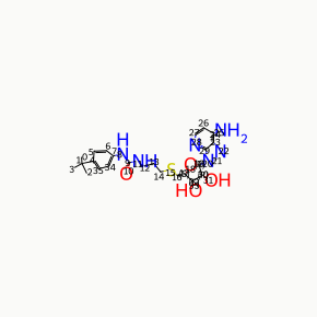 CC(C)(C)c1ccc(NC(=O)NCCCSC[C@H]2O[C@@H](n3cnc4c(N)ccnc43)[C@H](O)[C@@H]2O)cc1